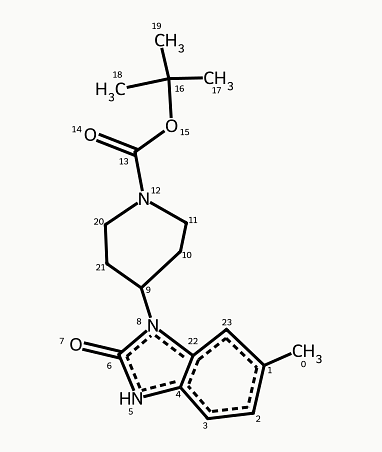 Cc1ccc2[nH]c(=O)n(C3CCN(C(=O)OC(C)(C)C)CC3)c2c1